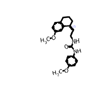 COc1ccc(NC(=O)NC/C=C2/CCCc3ccc(OC)cc32)cc1